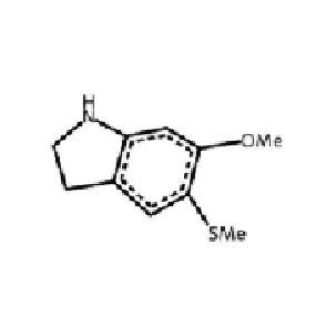 COc1cc2c(cc1SC)CCN2